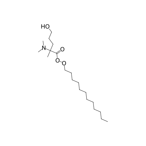 CCCCCCCCCCCCOOC(=O)C(C)(CCCO)N(C)C